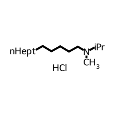 CCCCCCCCCCCCN(C)C(C)C.Cl